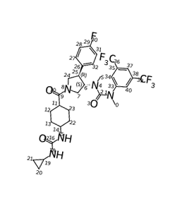 CN(C(=O)N(C)[C@@H]1CN(C(=O)C2CCC(NC(=O)NC3CC3)CC2)C[C@H]1c1ccc(F)cc1)c1cc(C(F)(F)F)cc(C(F)(F)F)c1